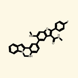 CNC(=O)c1c(-c2ccc(F)cc2)oc2cc(NC)c(-c3ccc4c(c3)-c3cc5ccccc5n3CN4)cc12